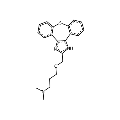 CN(C)CCCOCc1nc2c([nH]1)-c1ccccc1Sc1ccccc1-2